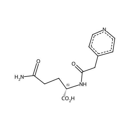 NC(=O)CC[C@H](NC(=O)Cc1ccncc1)C(=O)O